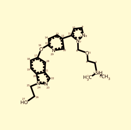 C[SiH](C)CCOCn1nccc1-c1ccc(Oc2ccc3c(cnn3CCO)c2)nc1